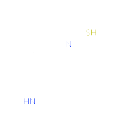 SN1CCC2(CNC2)C1